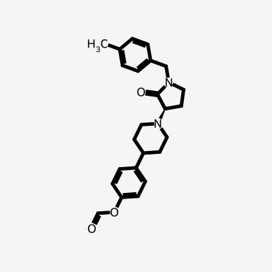 Cc1ccc(CN2CC[C@@H](N3CCC(c4ccc(OC=O)cc4)CC3)C2=O)cc1